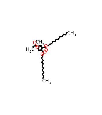 C=CC(=O)OC.CCCCCCCCCCCCCOC(=O)c1ccccc1C(=O)OCCCCCCCCCCCCC